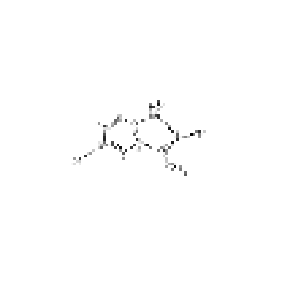 [2H]c1cnc2[nH]c(Cl)c(C)c2c1